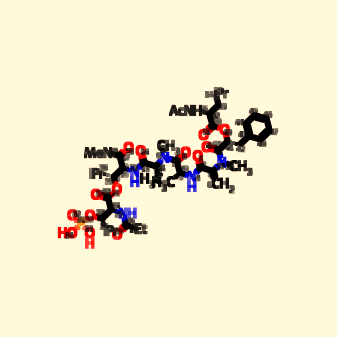 C=C(C(=O)N[C@@H](C)C(=O)N(C)[C@@H](C)C(=O)N[C@H](C(=O)NC)[C@H](OC(=O)[C@@H](NC(=O)CC)[C@H](OP(=O)(O)O)C(C)C)C(C)C)N(C)C(=O)[C@@H](Cc1ccccc1)OC(=O)[C@H](CC(C)C)NC(C)=O